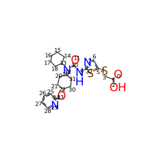 O=C(O)CSc1cnc(NC(=O)N(C2CCCCC2)C2CCC(Oc3ccccn3)CC2)s1